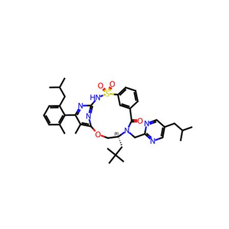 Cc1cccc(CC(C)C)c1-c1nc2nc(c1C)OC[C@@H](CC(C)(C)C)N(Cc1ncc(CC(C)C)cn1)C(=O)c1cccc(c1)S(=O)(=O)N2